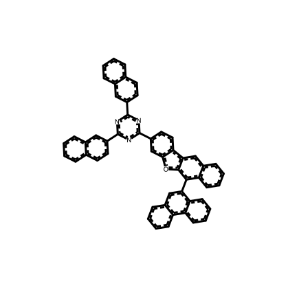 c1ccc2cc(-c3nc(-c4ccc5ccccc5c4)nc(-c4ccc5c(c4)oc4c(-c6cc7ccccc7c7ccccc67)c6ccccc6cc45)n3)ccc2c1